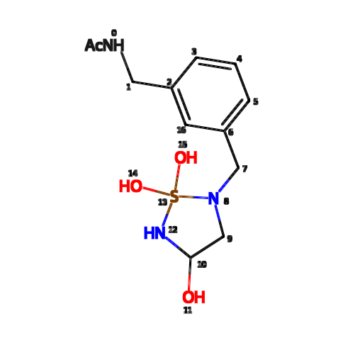 CC(=O)NCc1cccc(CN2CC(O)NS2(O)O)c1